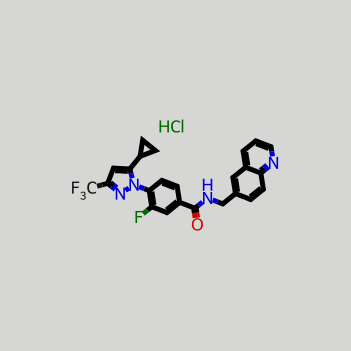 Cl.O=C(NCc1ccc2ncccc2c1)c1ccc(-n2nc(C(F)(F)F)cc2C2CC2)c(F)c1